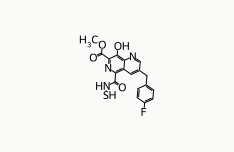 COC(=O)c1nc(C(=O)NS)c2cc(Cc3ccc(F)cc3)cnc2c1O